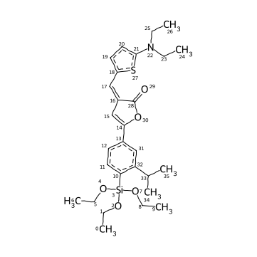 CCO[Si](OCC)(OCC)c1ccc(C2=C/C(=C/c3ccc(N(CC)CC)s3)C(=O)O2)cc1C(C)C